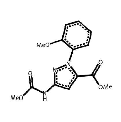 COC(=O)Nc1cc(C(=O)OC)n(-c2ccccc2OC)n1